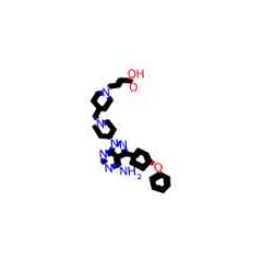 Nc1ncnc2c1c(-c1ccc(Oc3ccccc3)cc1)nn2C1CCN(CC2CCN(C/C=C/C(=O)O)CC2)CC1